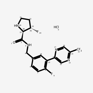 Cl.O=C(NCc1ccc(F)c(-c2cnc(C(F)(F)F)cn2)c1)[C@H]1NCC[C@@H]1F